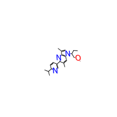 CCC(COC)n1cc(C)c2nc(-c3ccc(C(C)C)nc3)c(C)cc21